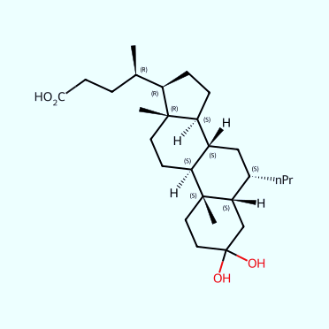 CCC[C@H]1C[C@@H]2[C@H](CC[C@]3(C)[C@@H]([C@H](C)CCC(=O)O)CC[C@@H]23)[C@@]2(C)CCC(O)(O)C[C@@H]12